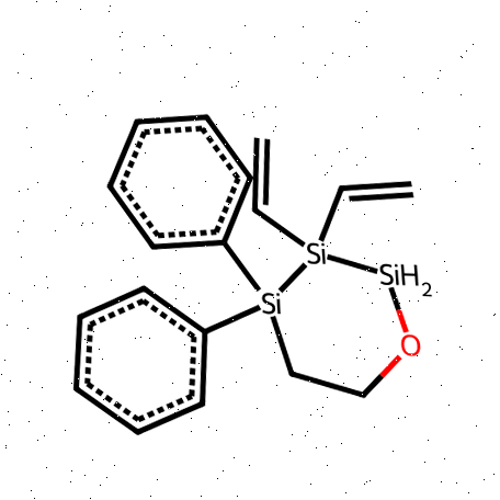 C=C[Si]1(C=C)[SiH2]OCC[Si]1(c1ccccc1)c1ccccc1